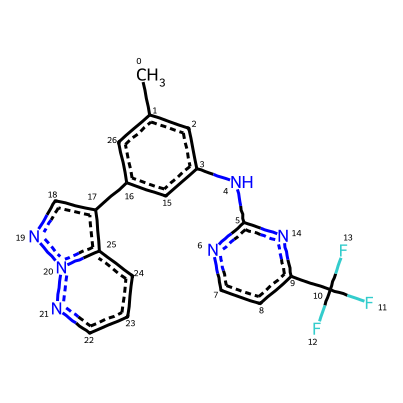 Cc1cc(Nc2nccc(C(F)(F)F)n2)cc(-c2cnn3ncccc23)c1